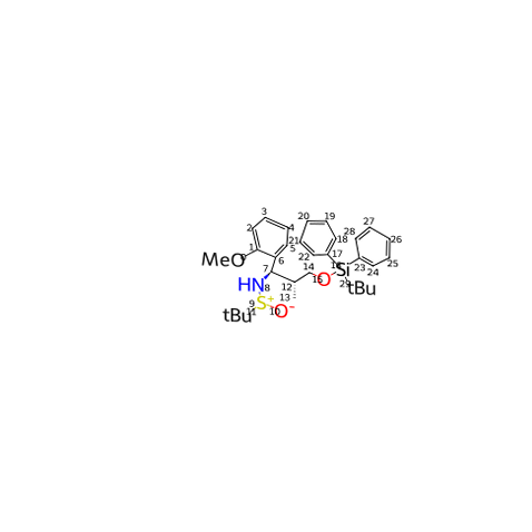 COc1ccccc1[C@H](N[S+]([O-])C(C)(C)C)[C@@H](C)CO[Si](c1ccccc1)(c1ccccc1)C(C)(C)C